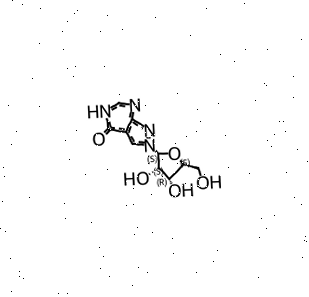 O=c1[nH]cnc2nn([C@H]3O[C@@H](CO)[C@H](O)[C@@H]3O)cc12